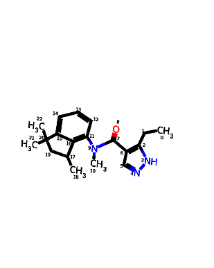 CCc1[nH]ncc1C(=O)N(C)c1cccc2c1C(C)CC2(C)C